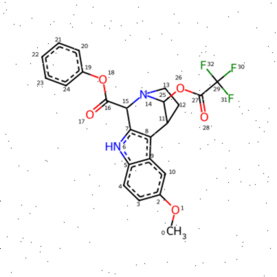 COc1ccc2[nH]c3c(c2c1)C1CCN(C3C(=O)Oc2ccccc2)C1OC(=O)C(F)(F)F